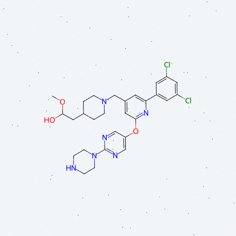 COC(O)CC1CCN(Cc2cc(Oc3cnc(N4CCNCC4)nc3)nc(-c3cc(Cl)cc(Cl)c3)c2)CC1